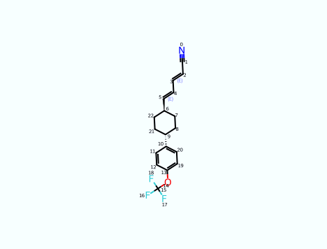 N#C/C=C/C=C/[C@H]1CC[C@H](c2ccc(OC(F)(F)F)cc2)CC1